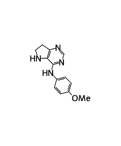 COc1ccc(Nc2ncnc3c2NCC3)cc1